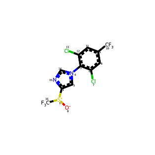 [O-][S+](c1cn(-c2c(Cl)cc(C(F)(F)F)cc2Cl)cn1)C(F)(F)F